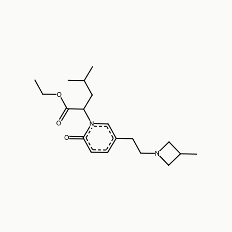 CCOC(=O)C(CC(C)C)n1cc(CCN2CC(C)C2)ccc1=O